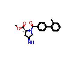 COC(=O)[C@@H]1CC(=N)CN1C(=O)c1ccc(-c2ccccc2C)cc1